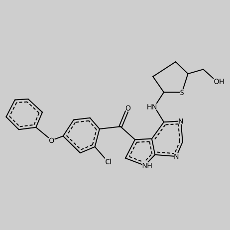 O=C(c1ccc(Oc2ccccc2)cc1Cl)c1c[nH]c2ncnc(NC3CCC(CO)S3)c12